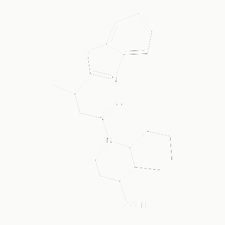 CC(CC(=O)N1CCC(C(=O)O)C2CCCCC21)c1nc2ccccc2s1